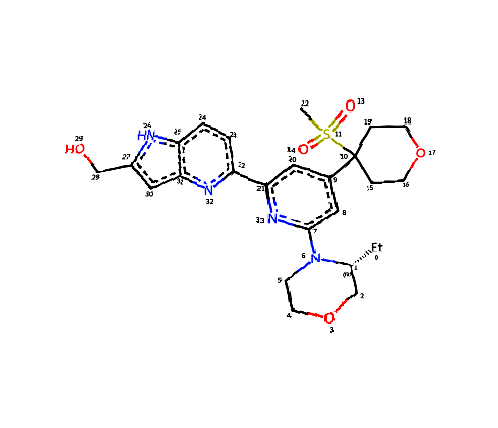 CC[C@@H]1COCCN1c1cc(C2(S(C)(=O)=O)CCOCC2)cc(-c2ccc3[nH]c(CO)cc3n2)n1